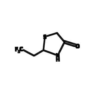 O=C1CSC(CC(F)(F)F)N1